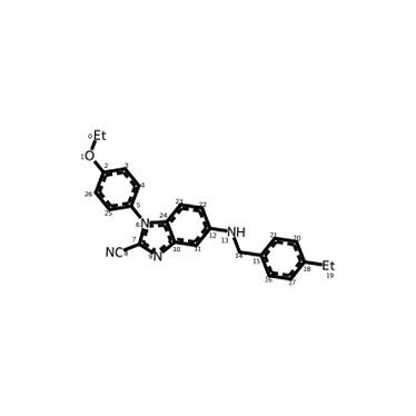 CCOc1ccc(-n2c(C#N)nc3cc(NCc4ccc(CC)cc4)ccc32)cc1